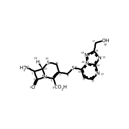 NC1C(=O)N2C(C(=O)O)=C(CSc3ccnc4nc(CO)nn34)CS[C@@H]12